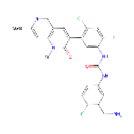 CCn1c(=O)c(-c2cc(NC(=O)Nc3ccc(F)c(CN)c3)c(F)cc2Cl)cc2cnc(NC)cc21